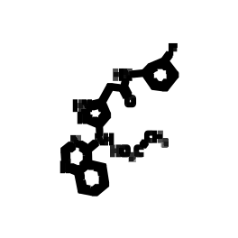 CC(=O)O.O=C(Cc1cc(Nc2ncnc3ccccc23)n[nH]1)Nc1cccc(F)c1